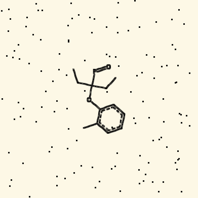 CCC(CC)(Oc1ccccc1C)P=O